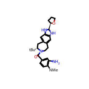 CNc1ccc(C(=O)N2CCc3cc4c(cc3C[C@H]2C(C)(C)C)NC([C@H]2CCCO2)N4)cc1N